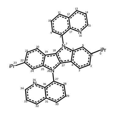 CC(C)c1ccc2c(c1)n(-c1cccc3cccnc13)c1c3ccc(C(C)C)cc3n(-c3cccc4cccnc34)c21